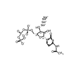 CC(=O)Nc1ccn([C@@H]2O[C@H](COP(=O)([O-])OP(=O)([O-])OP(=O)([O-])[O-])[C@@H](O)[C@H]2O)c(=O)n1.[Na+].[Na+].[Na+].[Na+]